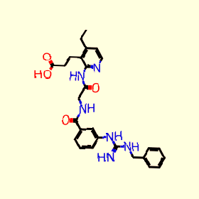 CCc1ccnc(NC(=O)CNC(=O)c2cccc(NC(=N)NCc3ccccc3)c2)c1CCC(=O)O